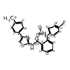 Cc1ccc(-c2csc(NC(=O)c3ccccc3N(c3ccc(F)cc3)[SH](=O)=O)n2)cc1